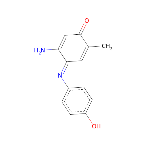 CC1=CC(=Nc2ccc(O)cc2)C(N)=CC1=O